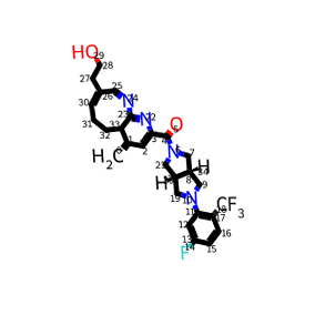 C=C1C=C(C(=O)N2C[C@@H]3CN(c4cc(F)ccc4C(F)(F)F)C[C@@H]3C2)N=C2/N=C\C(CCO)=C/CCC12